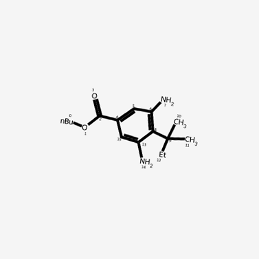 CCCCOC(=O)c1cc(N)c(C(C)(C)CC)c(N)c1